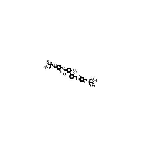 Cc1c(COc2ccc(CNC(CO)(CO)C(=O)O)cc2Br)cccc1-c1cccc(COc2ccc(CNC(CO)(CO)C(=O)O)cc2Br)c1C